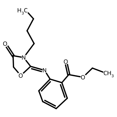 CCCCN1C(=O)CO/C1=N\c1ccccc1C(=O)OCC